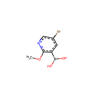 COc1ncc(Br)cc1B(O)O